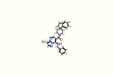 O=C(c1cnc2c(Br)cnn2c1NCc1ccccc1)N1CCC2(CCc3ccccc32)CC1